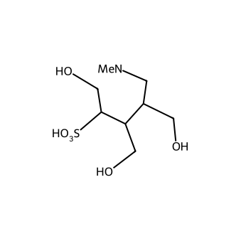 CNCC(CO)C(CO)C(CO)S(=O)(=O)O